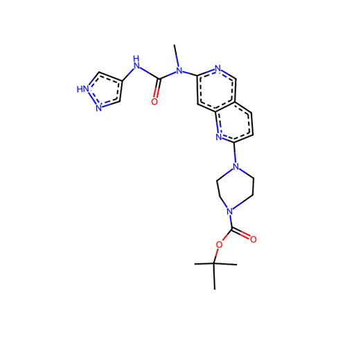 CN(C(=O)Nc1cn[nH]c1)c1cc2nc(N3CCN(C(=O)OC(C)(C)C)CC3)ccc2cn1